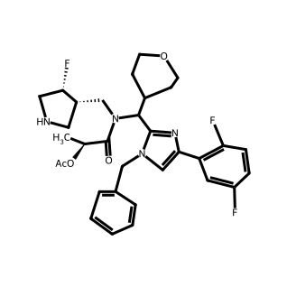 CC(=O)O[C@@H](C)C(=O)N(C[C@@H]1CNC[C@@H]1F)C(c1nc(-c2cc(F)ccc2F)cn1Cc1ccccc1)C1CCOCC1